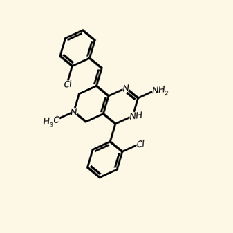 CN1CC(=Cc2ccccc2Cl)C2=C(C1)C(c1ccccc1Cl)NC(N)=N2